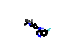 CC(C(=O)O)N1CC2(CC(Nc3ccnc4ccc(F)cc34)C2)C1